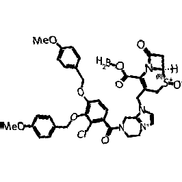 BOC(=O)C1=C(Cn2cc[n+]3c2CN(C(=O)c2ccc(OCc4ccc(OC)cc4)c(OCc4ccc(OC)cc4)c2Cl)CC3)C[S+]([O-])[C@@H]2CC(=O)N12